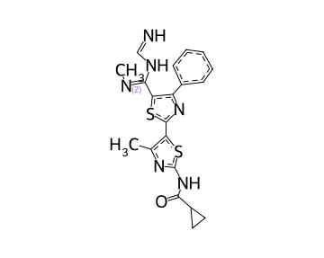 C/N=C(\NC=N)c1sc(-c2sc(NC(=O)C3CC3)nc2C)nc1-c1ccccc1